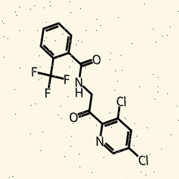 O=C(NCC(=O)c1ncc(Cl)cc1Cl)c1ccccc1C(F)(F)F